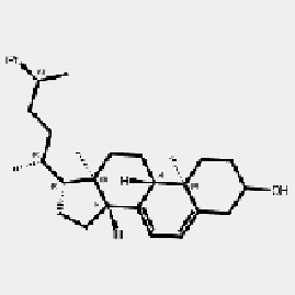 CC(C)[C@@H](C)CC[C@@H](C)[C@H]1CC[C@H]2C3=CC=C4CC(O)CC[C@]4(C)[C@H]3CC[C@]12C